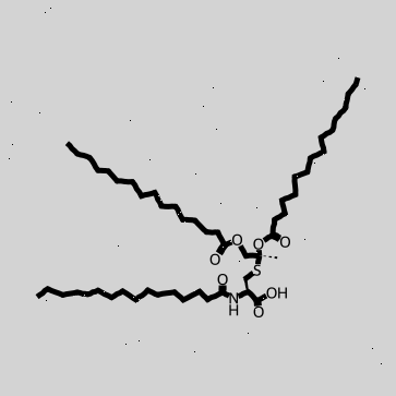 CCCCCCCCCCCCCCCC(=O)N[C@@H](CS[C@@](C)(COC(=O)CCCCCCCCCCCCCCC)OC(=O)CCCCCCCCCCCCCCC)C(=O)O